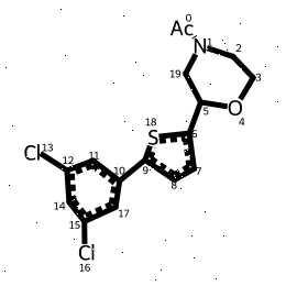 CC(=O)N1CCOC(c2ccc(-c3cc(Cl)cc(Cl)c3)s2)C1